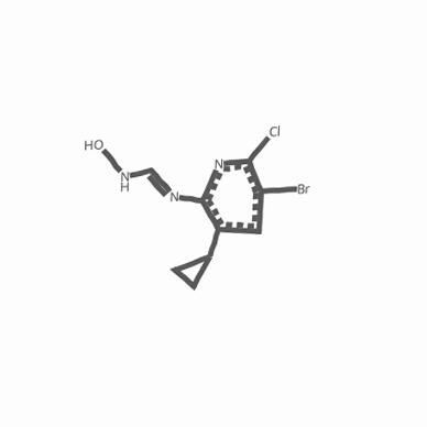 ONC=Nc1nc(Cl)c(Br)cc1C1CC1